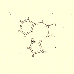 CN(S)Cc1ccccc1.c1cscn1